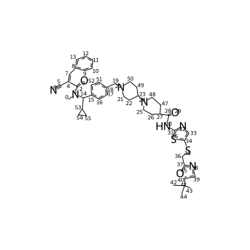 CN(C(=O)/C(C#N)=C\c1ccccc1)C(c1ccc(CN2CCC(N3CCC(C(=O)Nc4ncc(SCc5ncc(C(C)(C)C)o5)s4)CC3)CC2)cc1)C1CC1